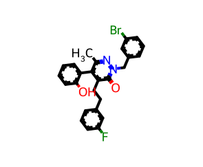 Cc1nn(Cc2cccc(Br)c2)c(=O)c(CCc2cccc(F)c2)c1-c1ccccc1O